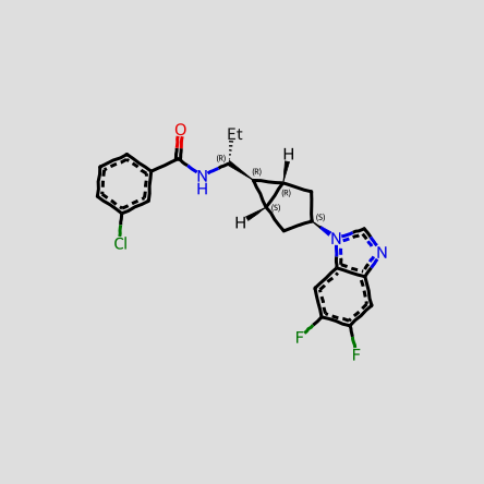 CC[C@@H](NC(=O)c1cccc(Cl)c1)[C@H]1[C@@H]2C[C@@H](n3cnc4cc(F)c(F)cc43)C[C@@H]21